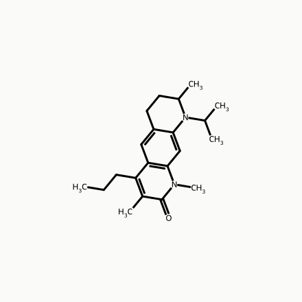 CCCc1c(C)c(=O)n(C)c2cc3c(cc12)CCC(C)N3C(C)C